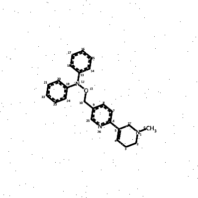 CN1CCC=C(c2ccc(CON(c3ccccc3)c3ccccc3)cn2)C1